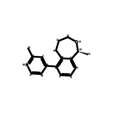 Cc1cc(-c2cccc3c2CCCO[C@@H]3C)ccn1